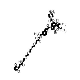 COC(=O)c1c(C)[nH]c2c(OC(=O)N3CCN(C)CC3)cc3c(c12)[C@H](CBr)CN3C(=O)c1cc2cc(/C(C)=N/NC(=O)CCOCCOCCOCCOCCNC(=O)CCN3C(=O)C=CC3=O)ccc2o1